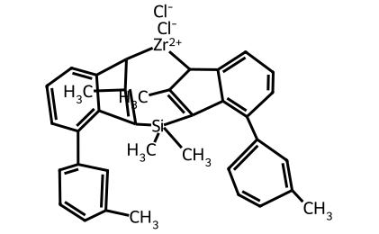 CC1=C2c3c(-c4cccc(C)c4)cccc3[CH]1[Zr+2][CH]1C(C)=C(c3c(-c4cccc(C)c4)cccc31)[Si]2(C)C.[Cl-].[Cl-]